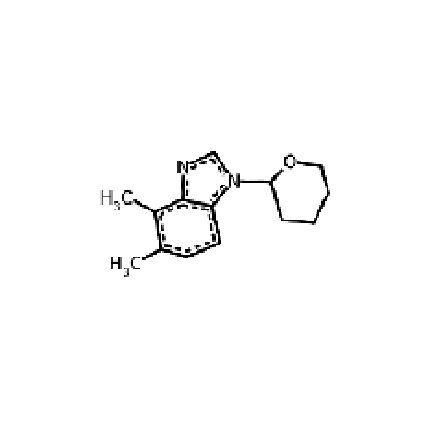 Cc1ccc2c(ncn2C2CCCCO2)c1C